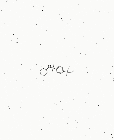 CCC(C)(C)c1ccc(C(C)(C)OC2CCCCC2)cc1